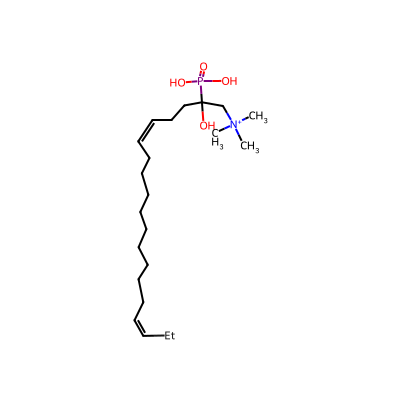 CC/C=C\CCCCCCCCC/C=C\CCC(O)(C[N+](C)(C)C)P(=O)(O)O